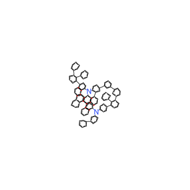 c1ccc(-c2cccc(N(c3ccc(-c4cccc(-c5cccc(-c6cccc(-c7ccc(N(c8ccc(-c9cccc(-c%10ccccc%10)c9-c9ccccc9)cc8)c8ccc(-c9ccccc9)cc8-c8ccccc8)c(-c8ccccc8)c7)c6)c5)c4-c4ccccc4)cc3)c3ccc(-c4cccc5ccccc45)cc3)c2)cc1